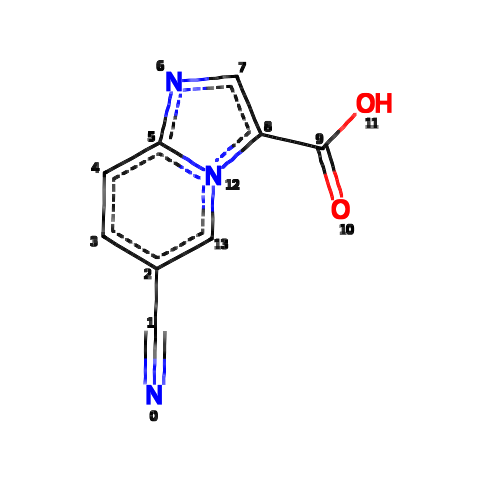 N#Cc1ccc2ncc(C(=O)O)n2c1